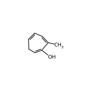 CC1=CC=CCC=C1O